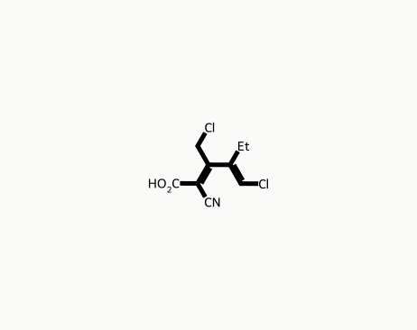 CCC(=CCl)/C(CCl)=C(\C#N)C(=O)O